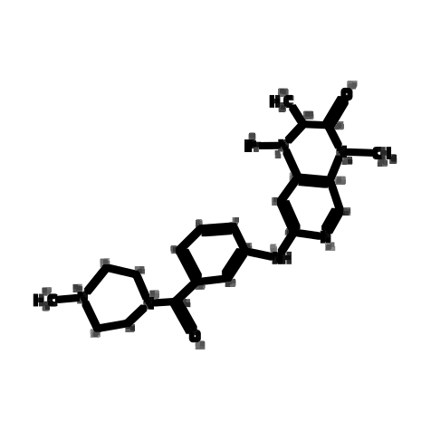 CC(C)N1c2cc(Nc3cccc(C(=O)N4CCN(C)CC4)c3)ncc2N(C)C(=O)C1C